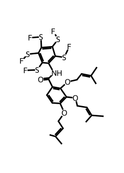 CC(C)=CCOc1ccc(C(=O)Nc2c(SF)c(SF)c(SF)c(SF)c2SF)c(OCC=C(C)C)c1OCC=C(C)C